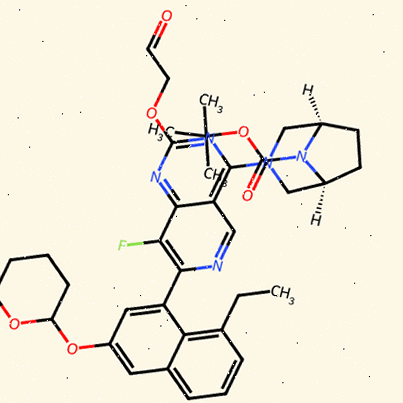 CCc1cccc2cc(OC3CCCCO3)cc(-c3ncc4c(N5C[C@H]6CC[C@@H](C5)N6C(=O)OC(C)(C)C)nc(OCC=O)nc4c3F)c12